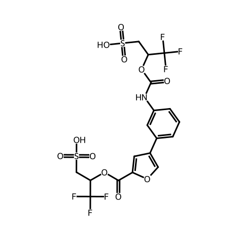 O=C(Nc1cccc(-c2coc(C(=O)OC(CS(=O)(=O)O)C(F)(F)F)c2)c1)OC(CS(=O)(=O)O)C(F)(F)F